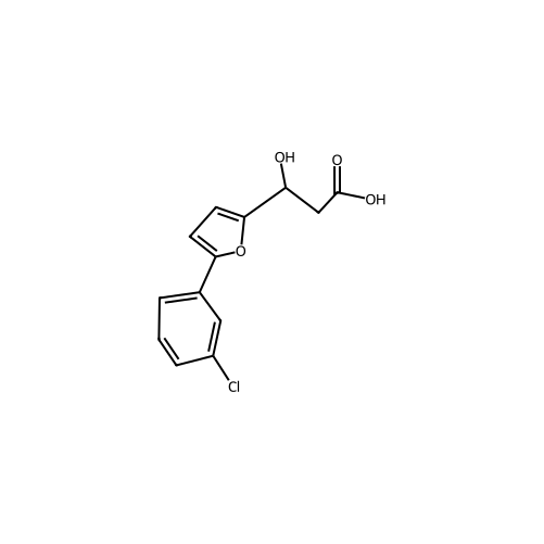 O=C(O)CC(O)c1ccc(-c2cccc(Cl)c2)o1